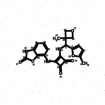 Cc1ccc(C(Nc2c(Nc3cccc4[nH]c(=O)oc34)c(=O)c2=O)C2(C)COC2)o1